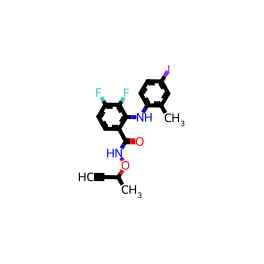 C#CC(C)ONC(=O)c1ccc(F)c(F)c1Nc1ccc(I)cc1C